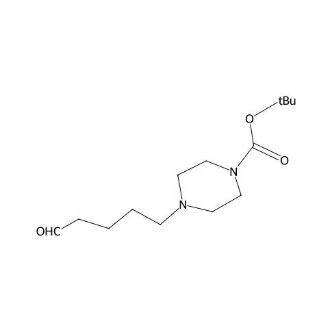 CC(C)(C)OC(=O)N1CCN(CCCCC=O)CC1